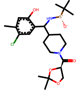 Cc1cc(O)c(C(N[S@@+]([O-])C(C)(C)C)C2CCN(C(=O)[C@H]3COC(C)(C)O3)CC2)cc1Cl